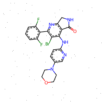 O=C1NCc2nc(-c3c(F)cccc3F)c(Br)c(Nc3ccc(N4CCOCC4)cn3)c21